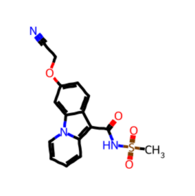 CS(=O)(=O)NC(=O)c1c2ccc(OCC#N)cc2n2ccccc12